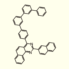 c1ccc(-c2cccc(-c3cccc(-c4ccc(-c5nc(-c6ccc7ccccc7c6)nc6c5ccc5ccccc56)cc4)c3)c2)cc1